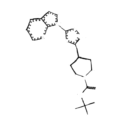 CC(C)(C)OC(=O)N1CCC(c2nc(-n3ccc4cccnc43)no2)CC1